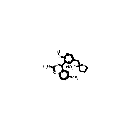 CCOc1ccc(CC2(C(=O)O)CCCO2)cc1C(OC(N)=O)c1cccc(C(F)(F)F)c1